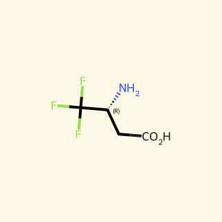 N[C@H](CC(=O)O)C(F)(F)F